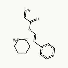 C1CC[SiH2]OC1.C=CC(=O)OC=Cc1ccccc1